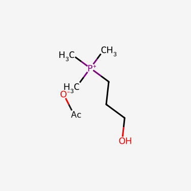 CC(=O)[O-].C[P+](C)(C)CCCO